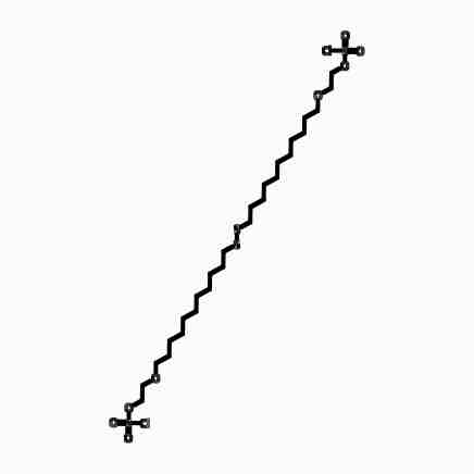 O=S(=O)(Cl)OCCOCCCCCCCCCCCSSCCCCCCCCCCCOCCOS(=O)(=O)Cl